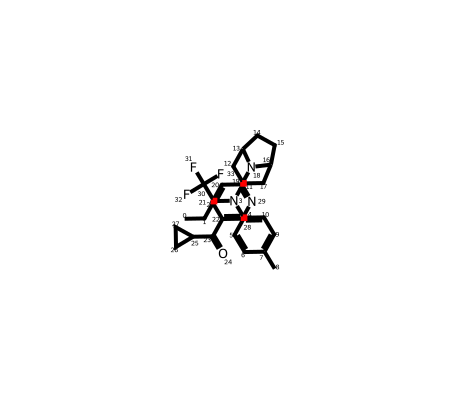 CCC(N(c1ccc(C)cc1)C1CC2CCC(C1)N2c1ccc(C(=O)C2CC2)cn1)C(F)(F)F